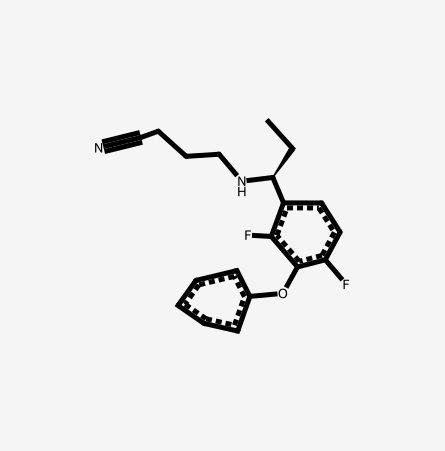 CC[C@H](NCCCC#N)c1ccc(F)c(Oc2ccccc2)c1F